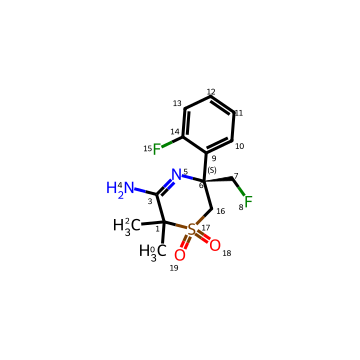 CC1(C)C(N)=N[C@](CF)(c2ccccc2F)CS1(=O)=O